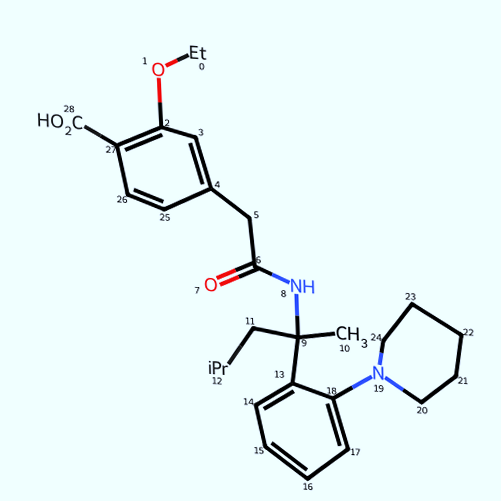 CCOc1cc(CC(=O)NC(C)(CC(C)C)c2ccccc2N2CCCCC2)ccc1C(=O)O